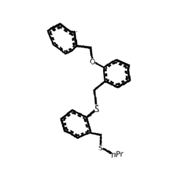 [CH2]CCSCc1ccccc1SCc1ccccc1OCc1[c]cccc1